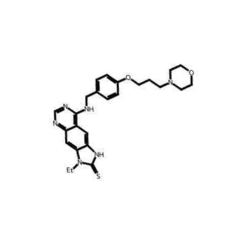 CCn1c(=S)[nH]c2cc3c(NCc4ccc(OCCCN5CCOCC5)cc4)ncnc3cc21